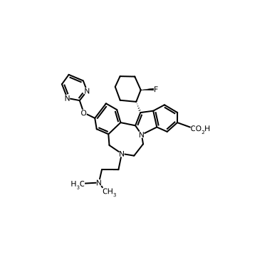 CN(C)CCN1CCn2c(c([C@@H]3CCCC[C@H]3F)c3ccc(C(=O)O)cc32)-c2ccc(Oc3ncccn3)cc2C1